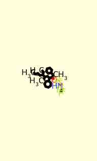 CCCCC(CC)C(CC)C/C(=C(/OSC(F)(F)SNSC(F)(F)F)C(C)C1CCCCC1)C1CCCCCC1